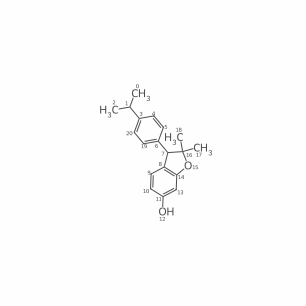 CC(C)c1ccc(C2c3ccc(O)cc3OC2(C)C)cc1